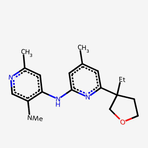 CCC1(c2cc(C)cc(Nc3cc(C)ncc3NC)n2)CCOC1